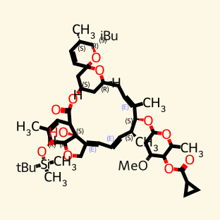 CC[C@H](C)[C@H]1OC2(C=C[C@@H]1C)C[C@@H]1C[C@@H](C/C=C(\C)[C@@H](OC3CC(OC)C(OC(=O)C4CC4)C(C)O3)[C@@H](C)/C=C/C=C3\CO[C@@H]4[C@H](O[Si](C)(C)C(C)(C)C)C(C)=CC(C(=O)O1)[C@]34O)O2